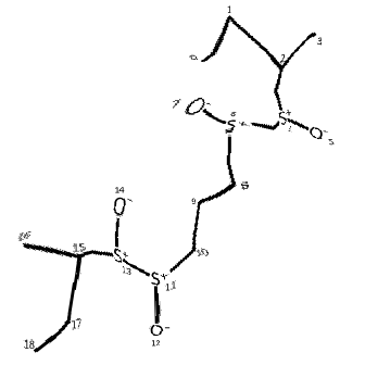 CCC(C)[S+]([O-])[S+]([O-])CCC[S+]([O-])[S+]([O-])C(C)CC